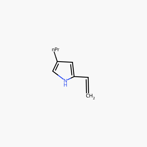 C=Cc1cc(CCC)c[nH]1